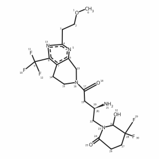 COCCc1nc2c(c(C(F)(F)F)n1)CCN(C(=O)C[C@@H](N)CN1C(=O)CCC(F)(F)C1O)C2